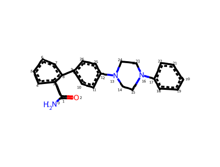 NC(=O)c1ccccc1-c1ccc(N2CCN(c3ccccc3)CC2)cc1